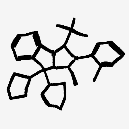 Cc1ccccc1N1C(C(C)(C)C)N2c3ccccc3C(C3CCCCC3)(C3CCCC3)C2[C@@H]1C